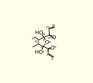 C=CC(=O)C(O)(CC)OC(O)(CC)C(=O)C=C